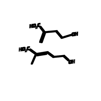 C=C(CCO)C(=O)O.CC(=CCCO)C(=O)O